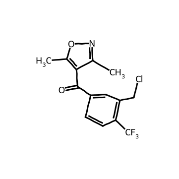 Cc1noc(C)c1C(=O)c1ccc(C(F)(F)F)c(CCl)c1